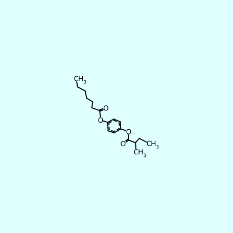 CCCCCCC(=O)Oc1ccc(OC(=O)C(C)CC)cc1